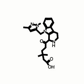 Cc1cc(Cn2c3c(c4ccccc42)CCNC3C(=O)CCC(C)(C)CC(=O)O)n(C)n1